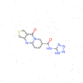 O=C(Nc1nnn[nH]1)c1ccc2nc3cscc3c(=O)n2c1